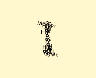 COC(=O)NC(C(=O)N1CCC[C@H]1c1ncc(-c2ccc(-c3csc4c(-c5ccc6[nH]c([C@@H]7CCCN7C(=O)[C@H](NC(=O)OC)c7ccccc7)nc6c5)csc34)cc2)[nH]1)C(C)C